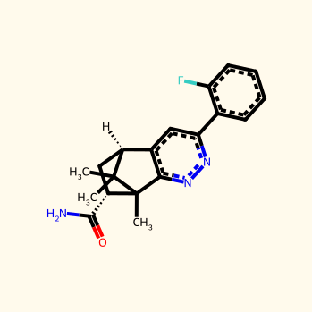 CC1(C)[C@H]2C[C@@H](C(N)=O)C1(C)c1nnc(-c3ccccc3F)cc12